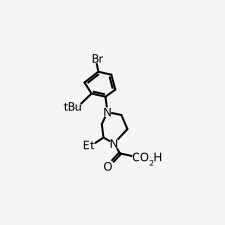 CCC1CN(c2ccc(Br)cc2C(C)(C)C)CCN1C(=O)C(=O)O